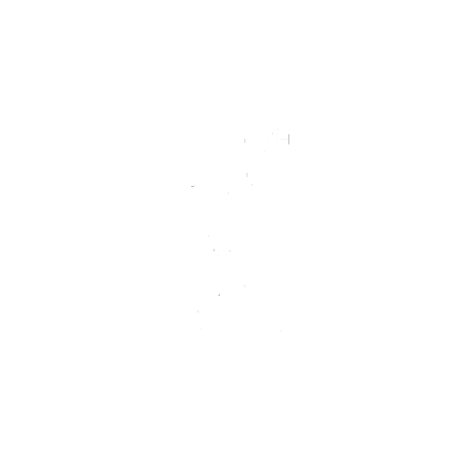 CCCCC(CC)COc1cccc(COS(=O)(O)=S)c1